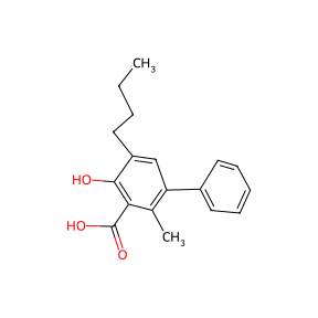 CCCCc1cc(-c2ccccc2)c(C)c(C(=O)O)c1O